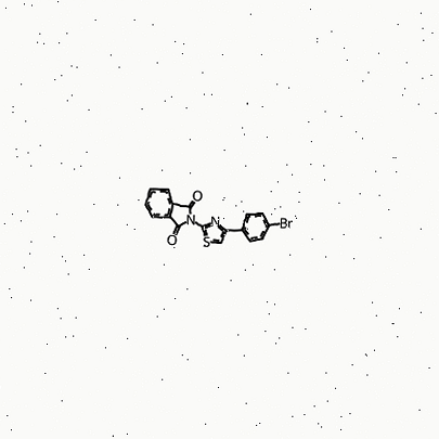 O=C1c2ccccc2C(=O)N1c1nc(-c2ccc(Br)cc2)cs1